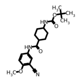 COc1ccc(NC(=O)C2CCC(NC(=O)OC(C)(C)C)CC2)cc1C#N